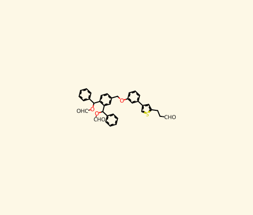 O=CCCc1cc(-c2cccc(OCc3ccc(C(OC=O)c4ccccc4)c(C(OC=O)c4ccccc4)c3)c2)cs1